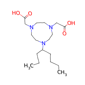 CCCCC(CCC)N1CCN(CC(=O)O)CCN(CC(=O)O)CC1